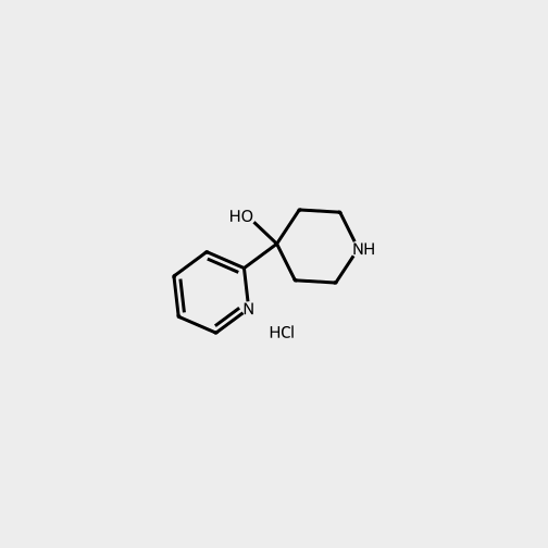 Cl.OC1(c2ccccn2)CCNCC1